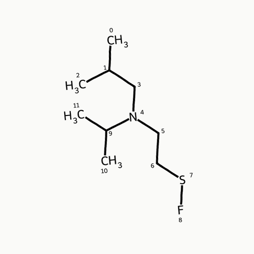 CC(C)CN(CCSF)C(C)C